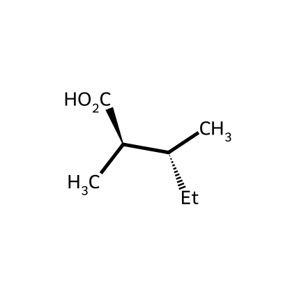 CC[C@@H](C)[C@@H](C)C(=O)O